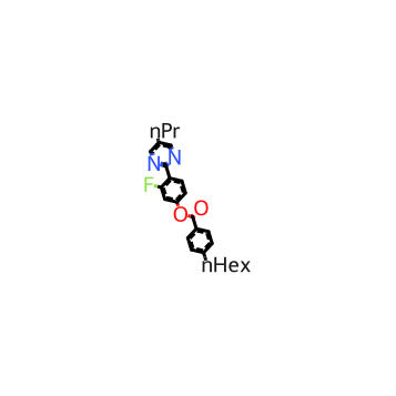 CCCCCCc1ccc(C(=O)Oc2ccc(-c3ncc(CCC)cn3)c(F)c2)cc1